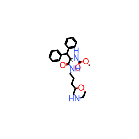 COC(=O)N[C@H](C(=O)NCCCC1CNCCO1)C(c1ccccc1)c1ccccc1